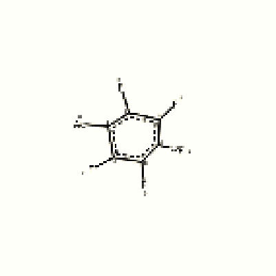 CC(=O)c1c(F)c(F)c([18F])c(F)c1F